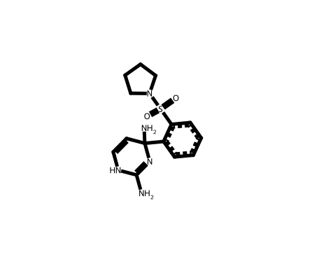 NC1=NC(N)(c2ccccc2S(=O)(=O)N2CCCC2)C=CN1